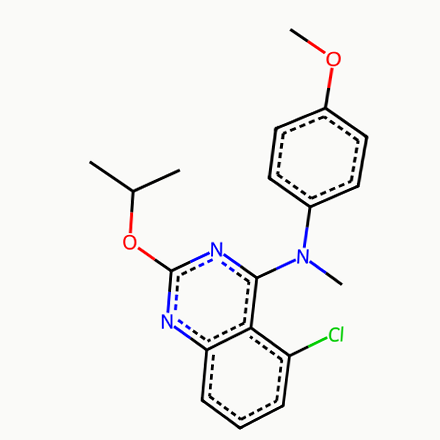 COc1ccc(N(C)c2nc(OC(C)C)nc3cccc(Cl)c23)cc1